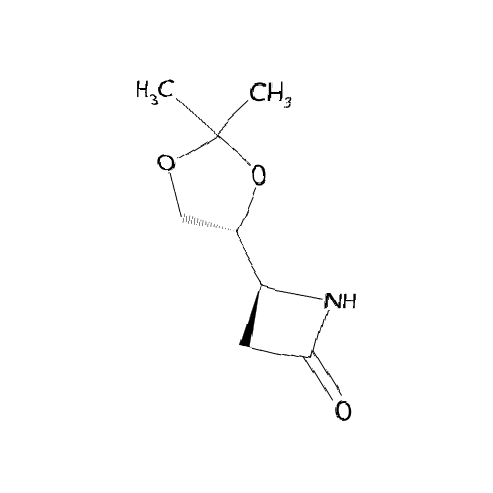 CC1(C)OC[C@@H]([C@@H]2CC(=O)N2)O1